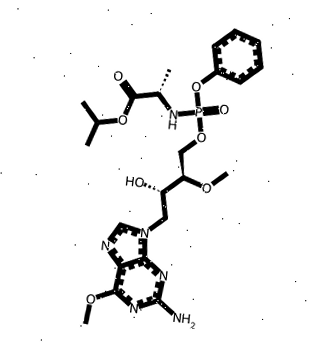 COc1nc(N)nc2c1ncn2C[C@H](O)[C@@H](COP(=O)(N[C@@H](C)C(=O)OC(C)C)Oc1ccccc1)OC